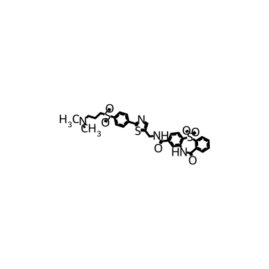 CN(C)CCCS(=O)(=O)c1ccc(-c2ncc(CNC(=O)c3ccc4c(c3)NC(=O)c3ccccc3S4(=O)=O)s2)cc1